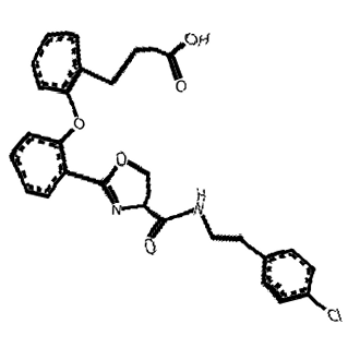 O=C(O)CCc1ccccc1Oc1ccccc1C1=NC(C(=O)NCCc2ccc(Cl)cc2)CO1